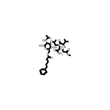 COC(=O)CC[C@H](C(N)=O)N(CC(C)O[C@H]1[C@H](O)[C@@H](COC(=O)CCCCc2ccccc2)O[C@H](O)[C@@H]1NC(C)=O)C(=O)[C@@H](N)C(C)C